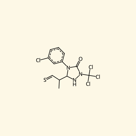 CC(C=S)C1NN(C(Cl)(Cl)Cl)C(=O)N1c1cccc(Cl)c1